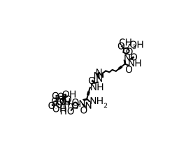 COC1C[C@H](n2cc(C#CCCCCc3cn(CC(=O)NCC#Cc4cn([C@H]5CC(O)[C@@H](COP(=O)(O)OP(=O)(O)OP(=O)(O)O)O5)c(=O)nc4N)nn3)c(=O)[nH]c2=O)O[C@@H]1CO